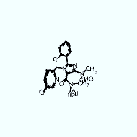 CCCCN(C)C(=O)c1c(N(C)C=O)nc(-c2ccccc2Cl)n1Cc1ccc(Cl)cn1